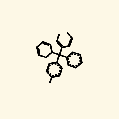 C/C=C\C(=C/C)C(c1ccccc1)(c1ccc(I)cc1)C1C=CC=CC1